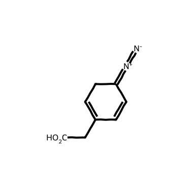 [N-]=[N+]=C1C=CC(CC(=O)O)=CC1